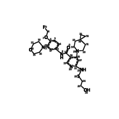 O=C(Nc1ccc(OCF)c(N2CCOCC2)c1)c1cnc(NSCCO)cc1N1CCC2(CC1)CC2